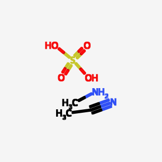 CC#N.CN.O=S(=O)(O)O